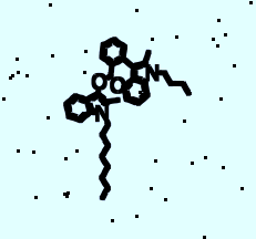 CCCCCCCCn1c(C)c(OC(=O)c2ccccc2-c2c(C)n(CCCC)c3ccccc23)c2ccccc21